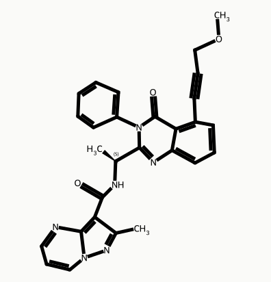 COCC#Cc1cccc2nc([C@H](C)NC(=O)c3c(C)nn4cccnc34)n(-c3ccccc3)c(=O)c12